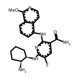 COc1nccc2c(Nc3nc(N[C@@H]4CCCC[C@@H]4N)c(F)cc3C(N)=O)cccc12